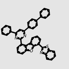 c1ccc(-c2ccc(-c3cc(-c4ccccc4)nc(-c4cccc5oc6c(-c7nc8ccccc8s7)cccc6c45)n3)cc2)cc1